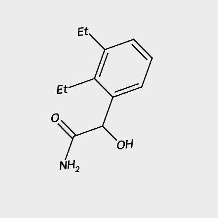 CCc1cccc(C(O)C(N)=O)c1CC